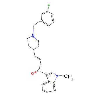 Cn1cc(C(=O)C=CC2CCN(Cc3cccc(F)c3)CC2)c2ccccc21